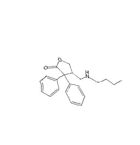 CCCCNCC1COC(=O)C1(c1ccccc1)c1ccccc1